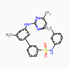 Cc1cc(Nc2nccc(C(F)(F)F)n2)cc(-c2cccc(S(=O)(=O)Nc3cccc(C(=O)O)c3)c2)c1